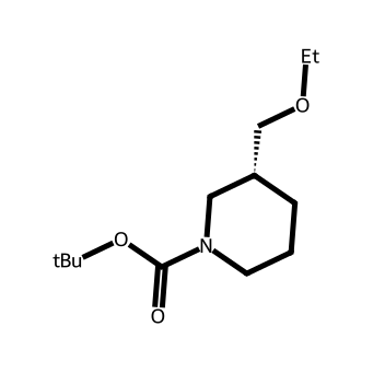 CCOC[C@@H]1CCCN(C(=O)OC(C)(C)C)C1